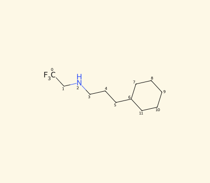 FC(F)(F)CNCCCC1CCCCC1